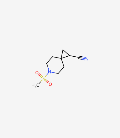 CS(=O)(=O)N1CCC2(CC1)CC2C#N